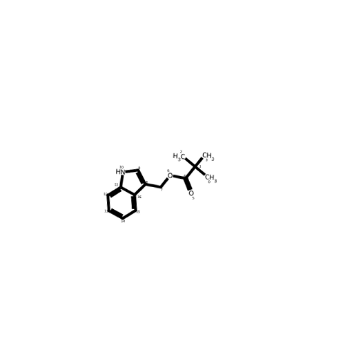 CC(C)(C)C(=O)OCc1c[nH]c2ccccc12